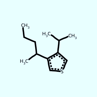 CCCC(C)c1cscc1C(C)C